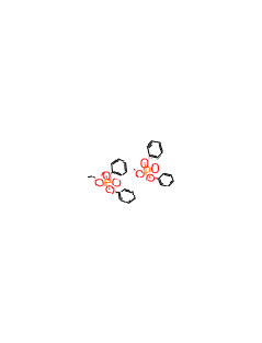 CCOP(=O)(Oc1ccccc1)Oc1ccccc1.COP(=O)(Oc1ccccc1)Oc1ccccc1